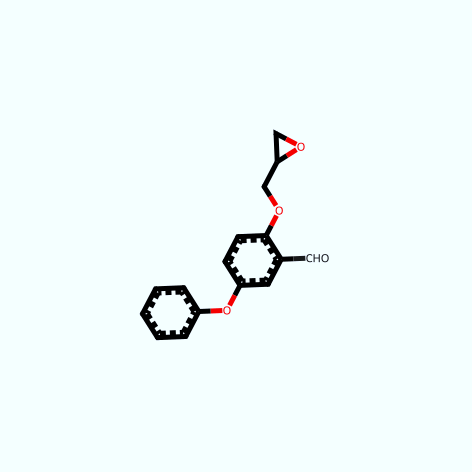 O=Cc1cc(Oc2ccccc2)ccc1OCC1CO1